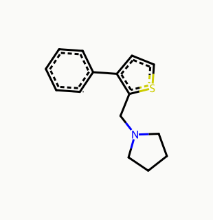 [c]1ccccc1-c1ccsc1CN1CCCC1